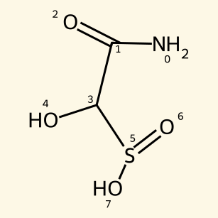 NC(=O)C(O)S(=O)O